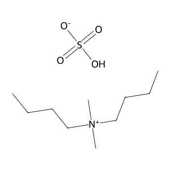 CCCC[N+](C)(C)CCCC.O=S(=O)([O-])O